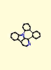 c1ccc2c(c1)-c1ccccc1-n1c3ccccc3c3ccnc-2c31